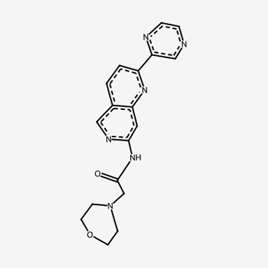 O=C(CN1CCOCC1)Nc1cc2nc(-c3cnccn3)ccc2cn1